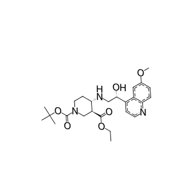 CCOC(=O)[C@H]1CN(C(=O)OC(C)(C)C)CC[C@@H]1NC[C@H](O)c1ccnc2ccc(OC)cc12